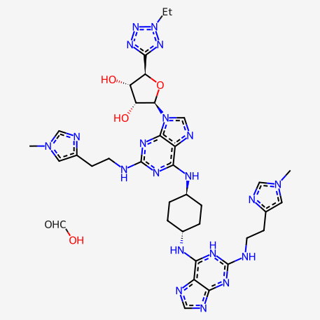 CCn1nnc([C@H]2O[C@@H](n3cnc4c(N[C@H]5CC[C@H](Nc6[nH]c(NCCc7cn(C)cn7)nc7ncnc6-7)CC5)nc(NCCc5cn(C)cn5)nc43)[C@H](O)[C@@H]2O)n1.O=CO